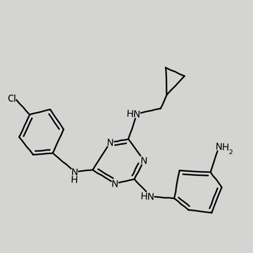 Nc1cccc(Nc2nc(NCC3CC3)nc(Nc3ccc(Cl)cc3)n2)c1